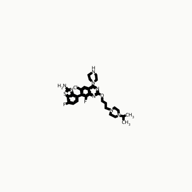 CC(C)N1CCN(CCCOc2nc(N3CCNCC3)c3cc(Cl)c(-c4ccc(F)c5sc(N)nc45)c(F)c3n2)CC1